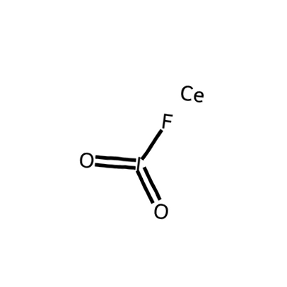 O=I(=O)F.[Ce]